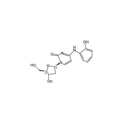 O=c1nc(Nc2ccccc2O)ccn1[C@H]1CC(O)[C@@H](CO)O1